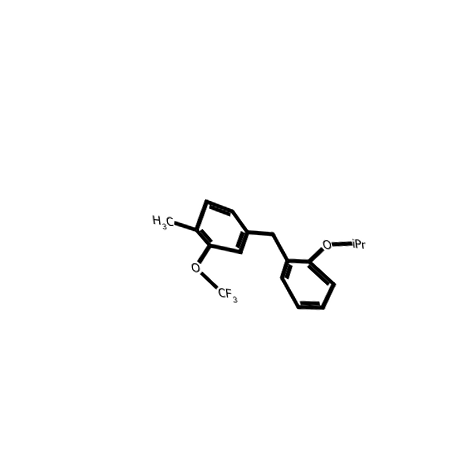 Cc1ccc(Cc2ccccc2OC(C)C)cc1OC(F)(F)F